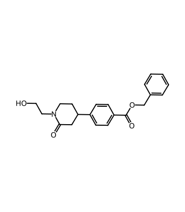 O=C(OCc1ccccc1)c1ccc(C2CCN(CCO)C(=O)C2)cc1